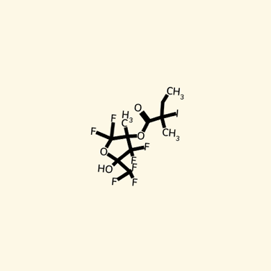 CCC(C)(I)C(=O)OC1(C)C(F)(F)OC(O)(C(F)(F)F)C1(F)F